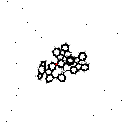 c1cc(-c2cccc3c2-c2ccccc2C32c3ccccc3Oc3ccccc32)cc(N(c2ccc3c(c2)C2(c4ccccc4Oc4ccccc42)c2ccccc2-3)c2ccc3c(c2)C2(c4ccccc4-c4ccccc42)c2ccccc2-3)c1